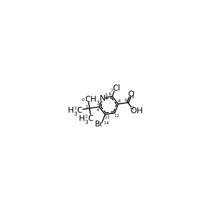 CC(C)(C)c1nc(Cl)c(C(=O)O)cc1Br